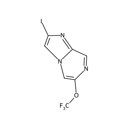 FC(F)(F)Oc1cn2cc(I)nc2cn1